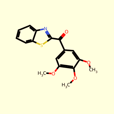 COc1cc(C(=O)c2nc3ccccc3s2)cc(OC)c1OC